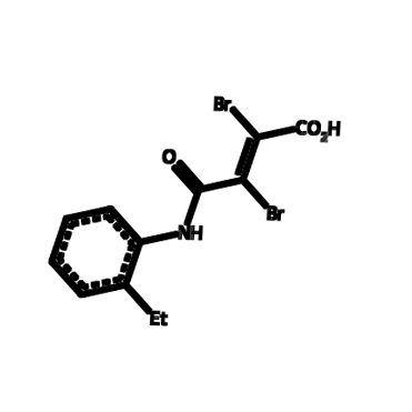 CCc1ccccc1NC(=O)C(Br)=C(Br)C(=O)O